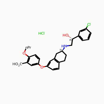 CCCOc1ccc(Oc2ccc3c(c2)C[C@@H](NC[C@H](O)c2cccc(Cl)c2)CC3)cc1C(=O)O.Cl